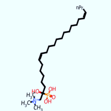 CCC/C=C\CCCCCCCCCC/C=C\CCCCCC(O)(C[N+](C)(C)C)P(=O)(O)O